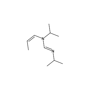 C/C=C\N(/C=N/C(C)C)C(C)C